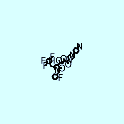 CN(C)c1ccc(N2CCN(C(=O)C(=O)C=C(O)c3cc(Cc4cc(F)cc(F)c4F)cn(Cc4ccccc4F)c3=O)CC2)cc1